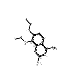 CCOc1ccc2c(N)nc(N)nc2c1OCC